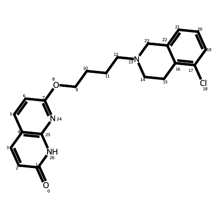 O=c1ccc2ccc(OCCCCN3CCc4c(Cl)cccc4C3)nc2[nH]1